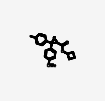 COc1ccc(C2(c3ccc(C)cc3)OC2C(=O)OC2CCC2)cc1